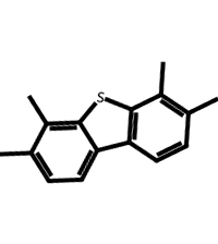 Cc1ccc2c(sc3c(C)c(C)ccc32)c1C